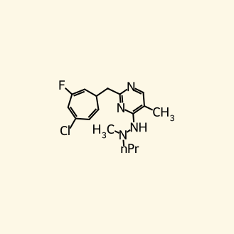 CCCN(C)Nc1nc(CC2C=CC(Cl)=CC(F)=C2)ncc1C